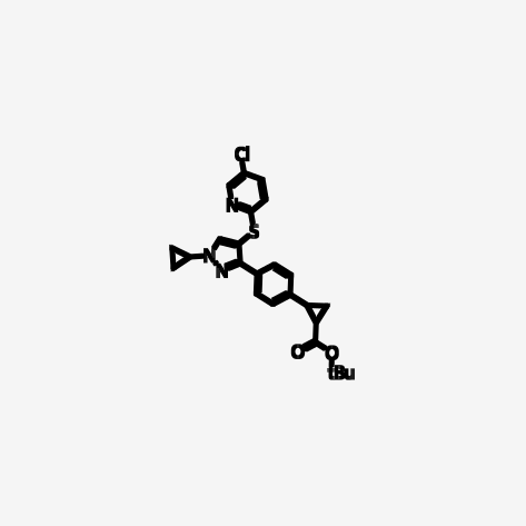 CC(C)(C)OC(=O)C1CC1c1ccc(-c2nn(C3CC3)cc2Sc2ccc(Cl)cn2)cc1